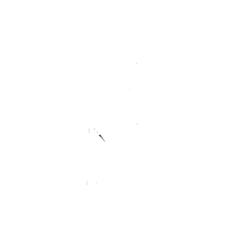 C[C@@H](OCC12CCC(CC1)OC2)[C@H](N)C(C)(C)O